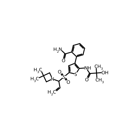 C=CC(N1CC(C)(C)C1)S(=O)(=O)c1cc(-c2ccccc2C(N)=O)c(NC(=O)C(C)(C)O)s1